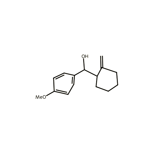 C=C1CCCCC1C(O)c1ccc(OC)cc1